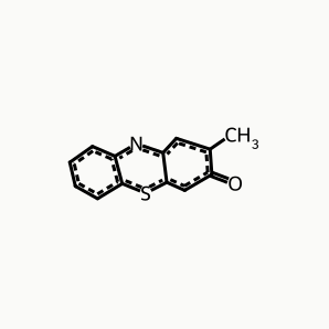 Cc1cc2nc3ccccc3sc-2cc1=O